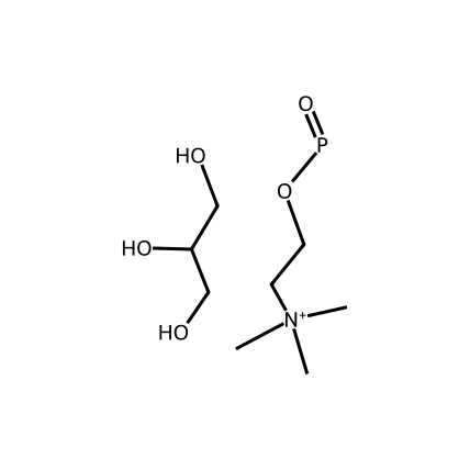 C[N+](C)(C)CCOP=O.OCC(O)CO